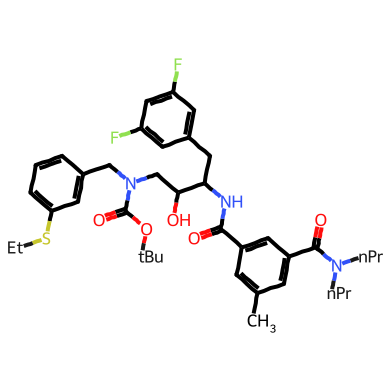 CCCN(CCC)C(=O)c1cc(C)cc(C(=O)NC(Cc2cc(F)cc(F)c2)C(O)CN(Cc2cccc(SCC)c2)C(=O)OC(C)(C)C)c1